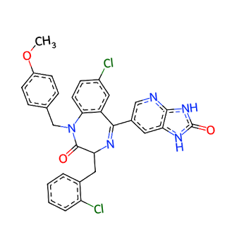 COc1ccc(CN2C(=O)C(Cc3ccccc3Cl)N=C(c3cnc4[nH]c(=O)[nH]c4c3)c3cc(Cl)ccc32)cc1